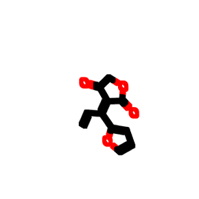 C=CC(=C1C(=O)COC1=O)c1ccco1